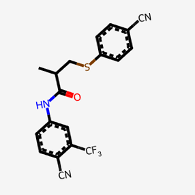 CC(CSc1ccc(C#N)cc1)C(=O)Nc1ccc(C#N)c(C(F)(F)F)c1